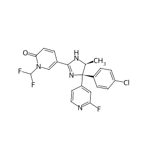 C[C@@H]1NC(c2ccc(=O)n(C(F)F)c2)=N[C@@]1(c1ccc(Cl)cc1)c1ccnc(F)c1